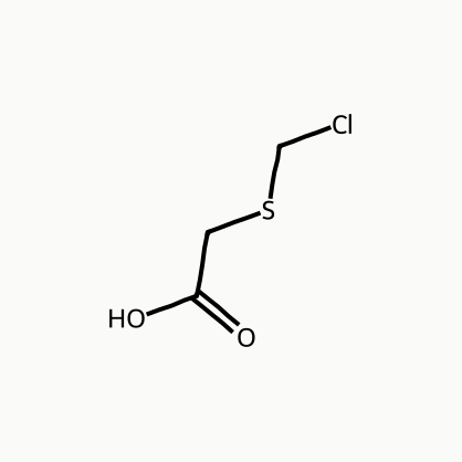 O=C(O)CSCCl